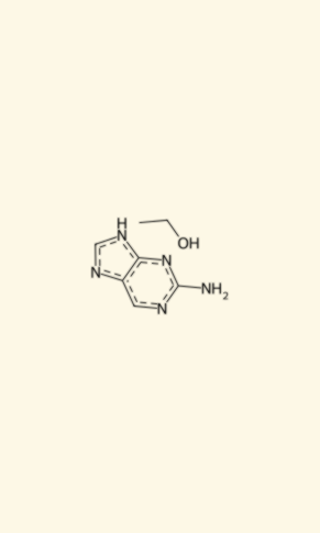 CCO.Nc1ncc2nc[nH]c2n1